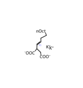 CCCCCCCCCC/C=C/C(CC(=O)[O-])C(=O)[O-].[K+].[K+]